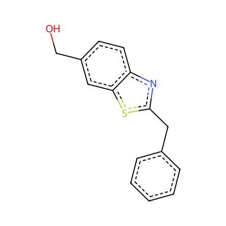 OCc1ccc2nc(Cc3ccccc3)sc2c1